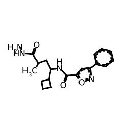 CC(CC(NC(=O)c1cc(-c2ccccc2)no1)C1CCC1)C(=O)NN